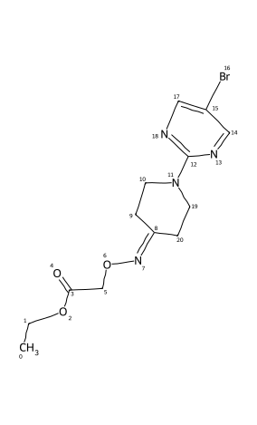 CCOC(=O)CON=C1CCN(c2ncc(Br)cn2)CC1